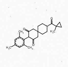 Cc1cc(C)c(C2C(=O)CC3(CCN(C(=O)C4(C)CC4)CC3)CC2=O)c(C)c1